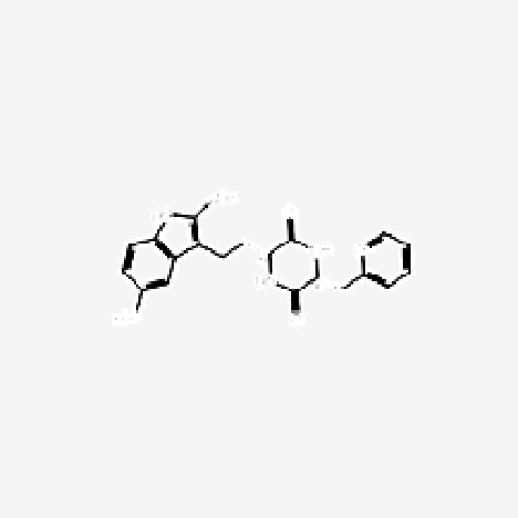 CCCCc1ccc2[nH]c(CCCC)c(CC[C@H]3NC(=O)[C@@H](Cc4ccccn4)NC3=O)c2c1